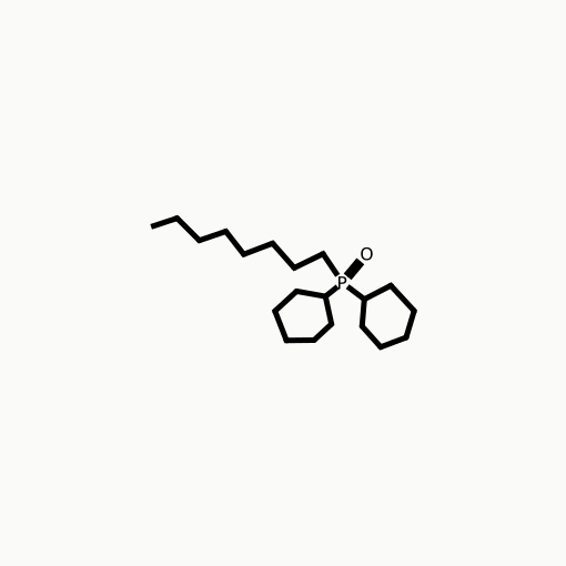 CCCCCCCCP(=O)(C1CCCCC1)C1CCCCC1